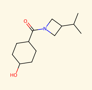 CC(C)C1CN(C(=O)C2CCC(O)CC2)C1